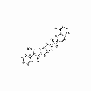 CN1CCOc2ccc(S(=O)(=O)N3CC4=C(CN(C(=O)C(CO)c5ccccc5)C4)C3)cc21